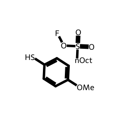 CCCCCCCCS(=O)(=O)OF.COc1ccc(S)cc1